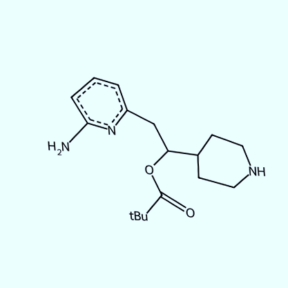 CC(C)(C)C(=O)OC(Cc1cccc(N)n1)C1CCNCC1